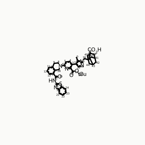 Cc1c(-c2ccc(N3CCc4cccc(C(=O)Nc5nc6ccccc6s5)c4C3)nc2C(=O)OC(C)(C)C)cnn1CC12CC3CC(C1)CC(C(=O)O)(C3)C2